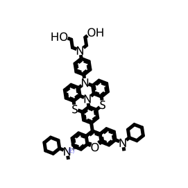 CN(c1ccc2c(-c3cc4c5c(c3)Sc3cccc6c3N5c3c(cccc3N6c3ccc(N(CCO)CCO)cc3)S4)c3cc/c(=[N+](/C)C4CCCCC4)cc-3oc2c1)C1CCCCC1